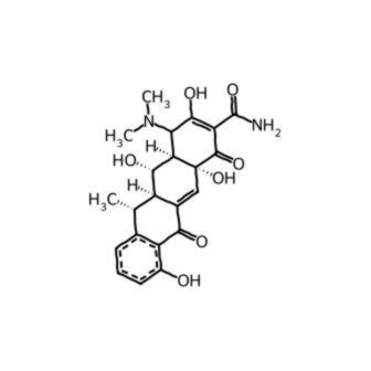 C[C@H]1c2cccc(O)c2C(=O)C2=C[C@]3(O)C(=O)C(C(N)=O)=C(O)C(N(C)C)[C@@H]3[C@@H](O)[C@@H]21